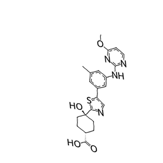 COc1ccnc(Nc2cc(C)cc(-c3cnc([C@]4(O)CC[C@H](C(=O)O)CC4)s3)c2)n1